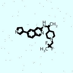 C=C(Nc1cc2cc(C3=CN=CC3)ccc2cn1)C1CCN(CC(C)(F)F)CC1